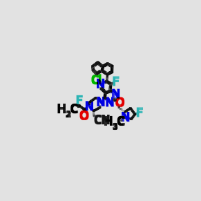 C=C(F)C(=O)N1CCN(c2nc(OC[C@@H]3C[C@@H](F)CN3C)nc3c(F)c(-c4cccc5cccc(Cl)c45)ncc23)C[C@@H]1CC#N